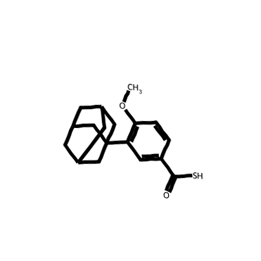 COc1ccc(C(=O)S)cc1C12CC3CC(CC(C3)C1)C2